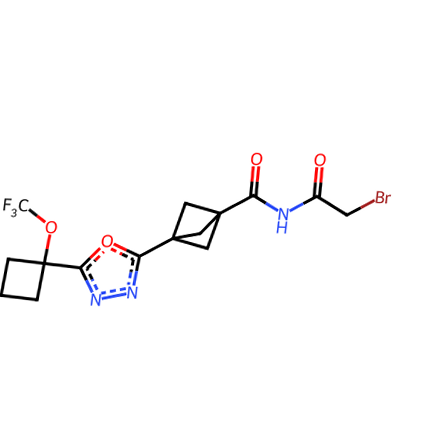 O=C(CBr)NC(=O)C12CC(c3nnc(C4(OC(F)(F)F)CCC4)o3)(C1)C2